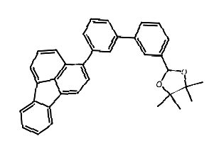 CC1(C)OC(c2cccc(-c3cccc(-c4ccc5c6c(cccc46)-c4ccccc4-5)c3)c2)OC1(C)C